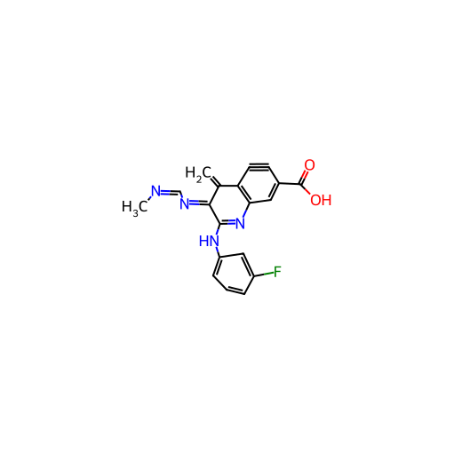 C=C1/C(=N\C=N/C)C(Nc2cccc(F)c2)=Nc2cc(C(=O)O)c#cc21